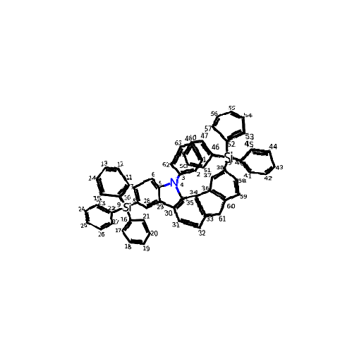 c1ccc(-n2c3ccc([Si](c4ccccc4)(c4ccccc4)c4ccccc4)cc3c3ccc4c(c32)-c2cc([Si](c3ccccc3)(c3ccccc3)c3ccccc3)ccc2C4)cc1